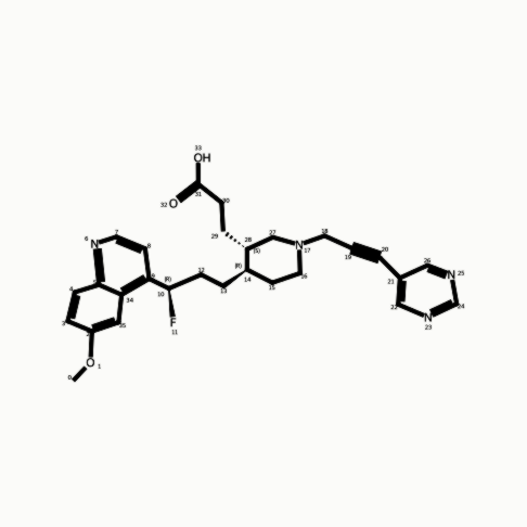 COc1ccc2nccc([C@H](F)CC[C@@H]3CCN(CC#Cc4cncnc4)C[C@H]3CCC(=O)O)c2c1